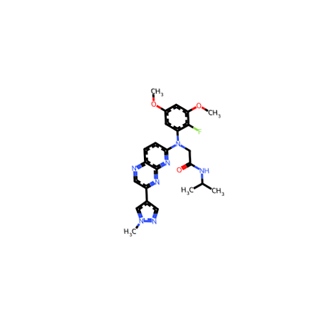 COc1cc(OC)c(F)c(N(CC(=O)NC(C)C)c2ccc3ncc(-c4cnn(C)c4)nc3n2)c1